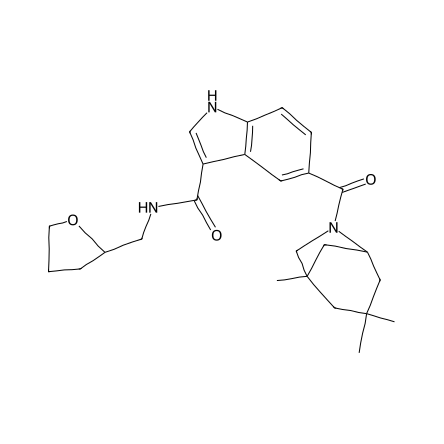 CC1(C)CC2CC(C)(CN2C(=O)c2ccc3[nH]cc(C(=O)NCC4CCCO4)c3c2)C1